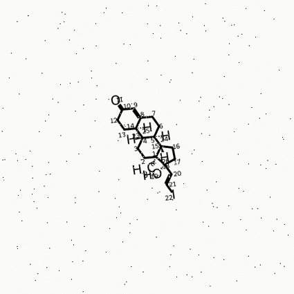 C[C@]12CC[C@H]3[C@@H](CCC4=CC(=O)CC[C@@H]43)[C@@H]1CC[C@@]2(O)/C=C/I